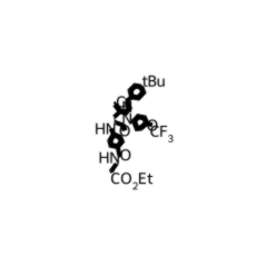 CCOC(=O)CCNC(=O)c1ccc(N[C@H](Cc2ccc(-c3ccc(C(C)(C)C)cc3)cc2)C(=O)Nc2ccc(OC(F)(F)F)cc2)cc1